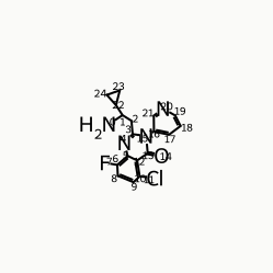 NC(Cc1nc2c(F)ccc(Cl)c2c(=O)n1-c1cccnc1)C1CC1